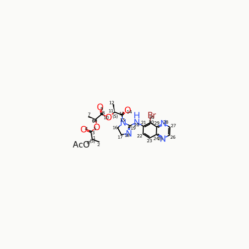 CC(=O)O[C@@H](C)C(=O)O[C@@H](C)C(=O)O[C@@H](C)C(=O)N1CCN=C1Nc1ccc2nccnc2c1Br